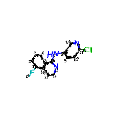 Fc1cccc2c(Nc3ccc(Cl)nc3)nccc12